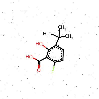 CC(C)(C)c1ccc(F)c(C(=O)O)c1O